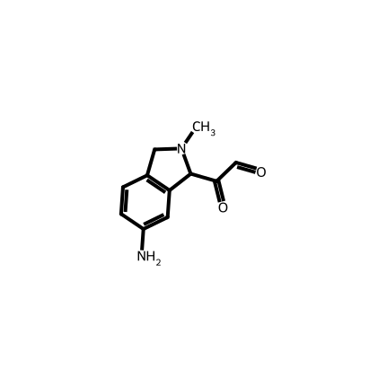 CN1Cc2ccc(N)cc2C1C(=O)C=O